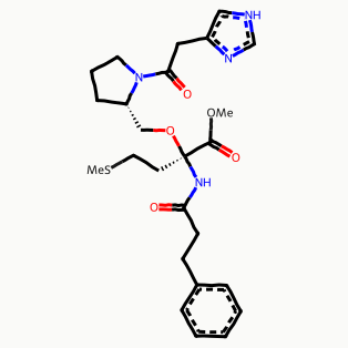 COC(=O)[C@@](CCSC)(NC(=O)CCc1ccccc1)OC[C@@H]1CCCN1C(=O)Cc1c[nH]cn1